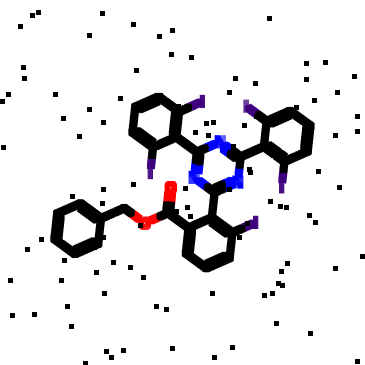 O=C(OCc1ccccc1)c1cccc(I)c1-c1nc(-c2c(I)cccc2I)nc(-c2c(I)cccc2I)n1